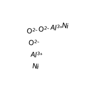 [Al+3].[Al+3].[Ni].[Ni].[O-2].[O-2].[O-2]